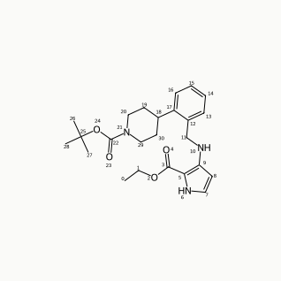 CCOC(=O)c1[nH]ccc1NCc1ccccc1C1CCN(C(=O)OC(C)(C)C)CC1